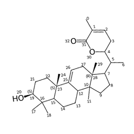 CC1=CCC(C(C)C2CCC3(C)C4CCC5C(C)(C)[C@@H](O)CC[C@]5(C)C4=CC[C@]23C)OC1=O